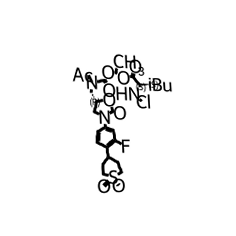 CC[C@H](C)[C@H](NCl)C(=O)OC(C)OC(=O)N(C[C@H]1CN(c2ccc(C3CCS(=O)(=O)CC3)c(F)c2)C(=O)O1)C(C)=O